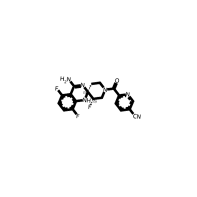 N#Cc1ccc(C(=O)N2CC[C@]3(N=C(N)c4c(F)ccc(F)c4N3)[C@@H](F)C2)nc1